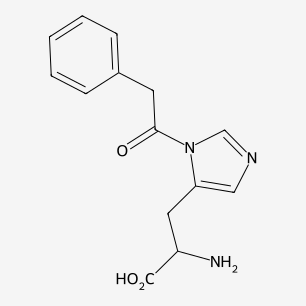 NC(Cc1cncn1C(=O)Cc1ccccc1)C(=O)O